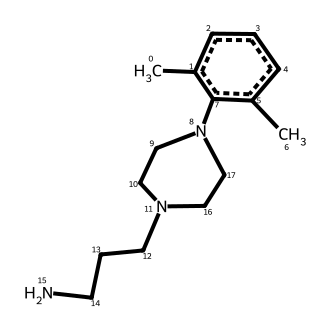 Cc1cccc(C)c1N1CCN(CCCN)CC1